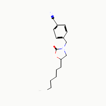 CCCCCCC1CN(Cc2ccc(C#N)cc2)C(=O)O1